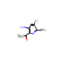 Bc1nc(C(=O)OC)c(N)cc1C(F)(F)F